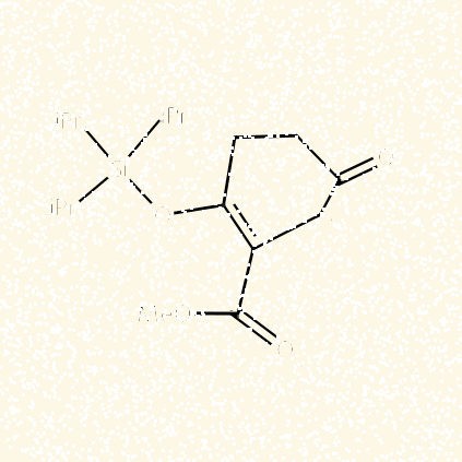 COC(=O)C1=C(O[Si](C(C)C)(C(C)C)C(C)C)CCC(=O)C1